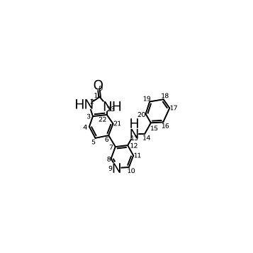 O=c1[nH]c2ccc(-c3cnccc3NCc3ccccc3)cc2[nH]1